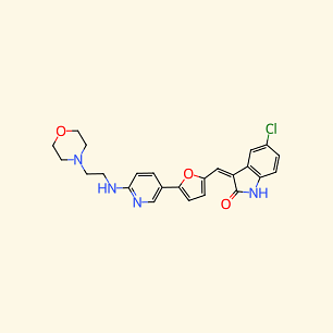 O=C1Nc2ccc(Cl)cc2C1=Cc1ccc(-c2ccc(NCCN3CCOCC3)nc2)o1